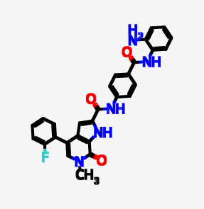 Cn1cc(-c2ccccc2F)c2cc(C(=O)Nc3ccc(C(=O)Nc4ccccc4N)cc3)[nH]c2c1=O